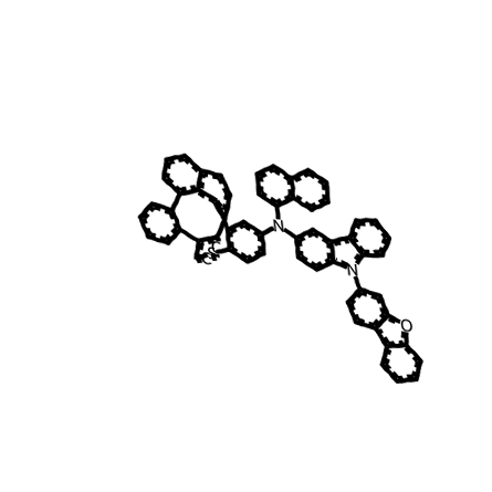 c1ccc2c(c1)-c1c3cccc1-c1ccc4cccc-2c4c1-c1cc(N(c2ccc4c(c2)c2ccccc2n4-c2ccc4c(c2)oc2ccccc24)c2cccc4ccccc24)ccc1S3